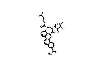 CN[C@@H](C)C(=O)N[C@H]1CN(C(=O)CCCC(C)=O)c2ccccc2N(Cc2c(OC)ccc3cc(C(=O)O)ccc23)C1=O